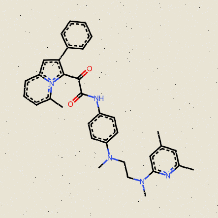 Cc1cc(C)nc(N(C)CCN(C)c2ccc(NC(=O)C(=O)c3c(-c4ccccc4)cc4cccc(C)n34)cc2)c1